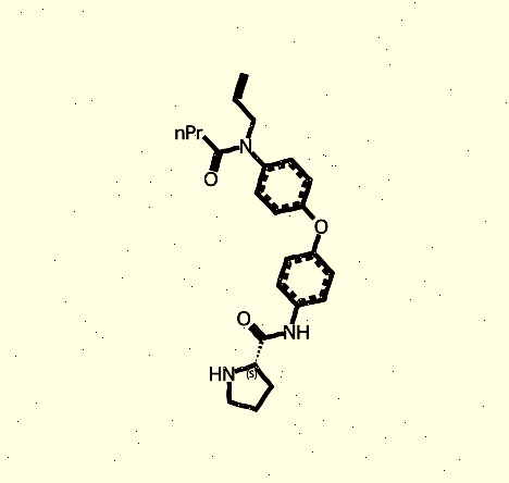 C=CCN(C(=O)CCC)c1ccc(Oc2ccc(NC(=O)[C@@H]3CCCN3)cc2)cc1